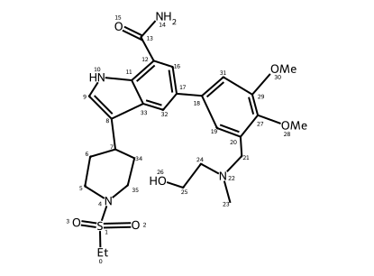 CCS(=O)(=O)N1CCC(c2c[nH]c3c(C(N)=O)cc(-c4cc(CN(C)CCO)c(OC)c(OC)c4)cc23)CC1